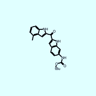 Cc1cccc2[nH]c(C(=O)c3cc4ccc(NC(=O)OC(C)(C)C)cc4[nH]3)cc12